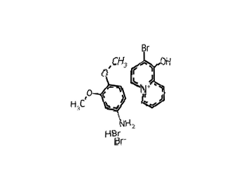 Br.COc1ccc(N)cc1OC.Oc1c(Br)cc[n+]2ccccc12.[Br-]